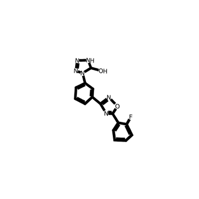 OC1NN=NN1c1cccc(-c2noc(-c3ccccc3F)n2)c1